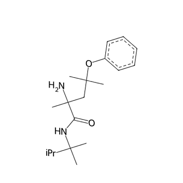 CC(C)C(C)(C)NC(=O)C(C)(N)CC(C)(C)Oc1ccccc1